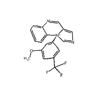 COc1cc(C(F)(F)F)cc([N+]23C=NC=C2C=Nc2ccccc23)c1